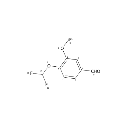 CC(C)Oc1cc(C=O)ccc1OC(F)F